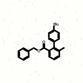 Cc1cccc(C(=O)OCc2ccccc2)c1-c1ccc(C(C)(C)C)cc1